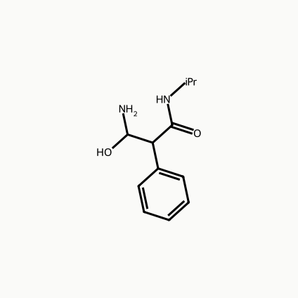 CC(C)NC(=O)C(c1ccccc1)C(N)O